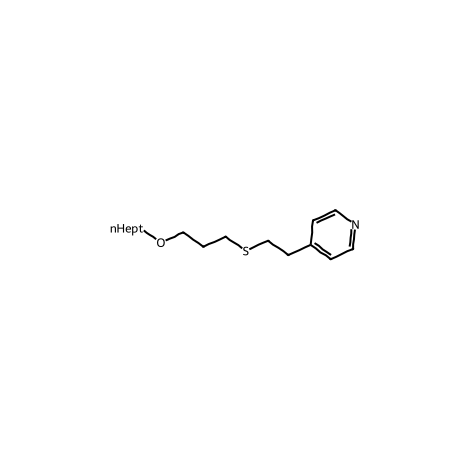 CCCCCCCOCCCSCCc1ccncc1